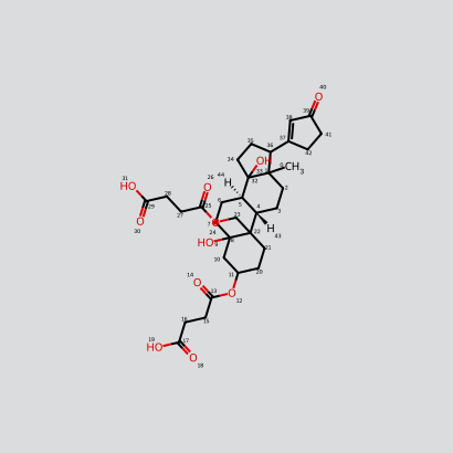 CC12CC[C@H]3[C@@H](CCC4(O)CC(OC(=O)CCC(=O)O)CCC34COC(=O)CCC(=O)O)C1(O)CCC2C1=CC(=O)CC1